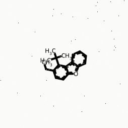 CCc1ccc2oc3ccccc3c2c1C(C)(C)C